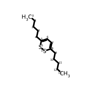 CCCCCC1=CC=C(CCCCC)SS1